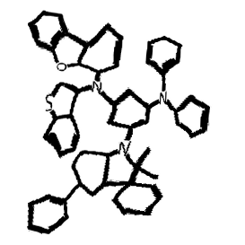 CC1(C)N(C2=CC(N(C3=CCCC=C3)C3C=CC=CC3)CC(N(C3C=CC=C4C5=C(C=CCC5)OC43)C3CSC4C=CC=CC43)C2)C2CCC(C3=CCCC=C3)CC2C12CCCCC2